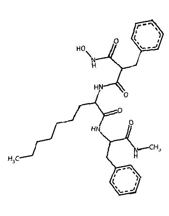 CCCCCCCC(NC(=O)C(Cc1ccccc1)C(=O)NO)C(=O)NC(Cc1ccccc1)C(=O)NC